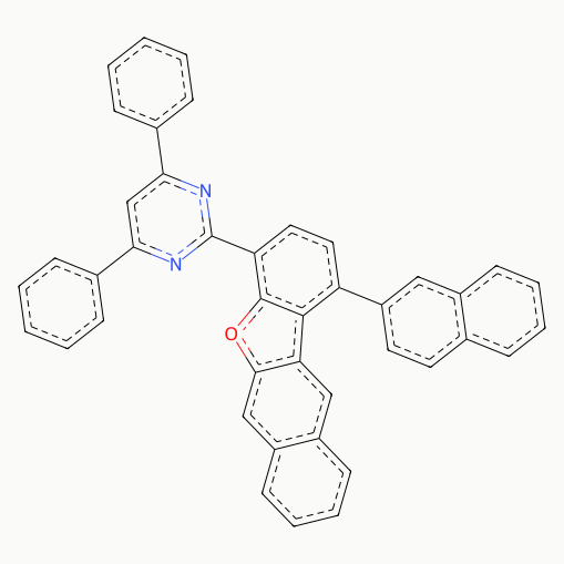 c1ccc(-c2cc(-c3ccccc3)nc(-c3ccc(-c4ccc5ccccc5c4)c4c3oc3cc5ccccc5cc34)n2)cc1